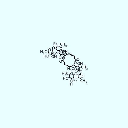 CC[C@@H]1[C@@H](O[C@H]2C[C@H](O)[C@H](O)[C@H](C)O2)[C@@H](OC(=O)[C@@H](C)[C@H](O)[C@H](C)[C@H]2OC(=O)/C=C/C=C/[C@H](C)[C@@H]([C@@H](C)[C@@H](O)[C@H](C)[C@@]3(O)C[C@@H](O[C@H]4C[C@H](O)[C@H](O)[C@H](C)O4)[C@H](CC)[C@@H](C)O3)OC(=O)/C=C/C=C/[C@@H]2C)O[C@H]1C